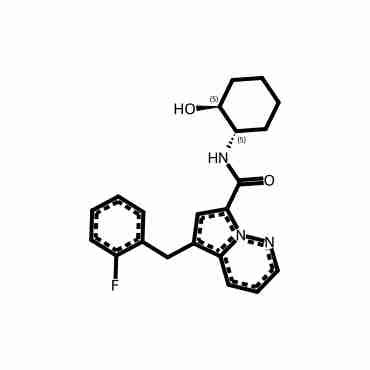 O=C(N[C@H]1CCCC[C@@H]1O)c1cc(Cc2ccccc2F)c2cccnn12